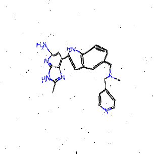 Cc1nc2c(-c3cc4cc(CN(C)Cc5ccncc5)ccc4[nH]3)cc(N)nc2[nH]1